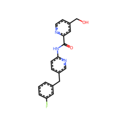 O=C(Nc1ccc(Cc2cccc(F)c2)cn1)c1cc(CO)ccn1